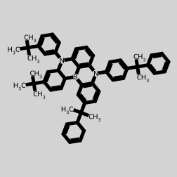 CC(C)(C)C1=CC2C(C=C1)B1c3cc(C(C)(C)C4C=CC=CC4)ccc3N(c3ccc(C(C)(C)c4ccccc4)cc3)c3cccc(c31)N2c1cccc(C(C)(C)C)c1